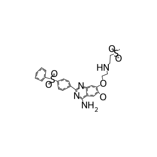 COc1cc2c(N)nc(-c3ccc(S(=O)(=O)c4ccccc4)cc3)nc2cc1OCCNCCS(C)(=O)=O